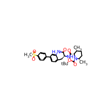 C[C@@H]1CC[C@H](C)N(C(=O)OC(C)(C)C)[C@@H]1C(=O)N[C@@H](Cc1ccc(-c2ccc(S(C)(=O)=O)cc2)cc1)C(N)=O